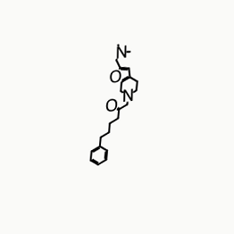 CN(C)Cc1cc2c(o1)CN(CC(=O)CCCCc1ccccc1)CC2